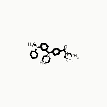 CCN(CC)C(=O)c1ccc(C(c2cccc(N(C)C3CCCCC3)c2)N2CCNCC2)cc1